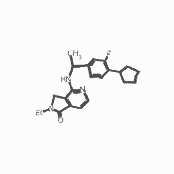 CCN1Cc2c(ccnc2NC(C)c2ccc(C3CCCC3)c(F)c2)C1=O